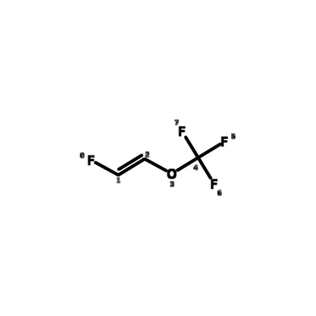 FC=COC(F)(F)F